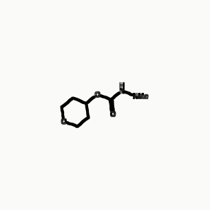 CNNC(=O)OC1CCOCC1